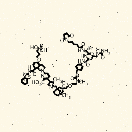 Cc1c(-c2ccc(N3CCc4c(OCCCP(=O)(O)O)ccc(C(=O)Nc5nc6ccccc6s5)c4C3)nc2C(=O)O)cnn1CC12CCCC(C)(CC(C)(CCOCCN(C)C(=O)OCc3ccc(NC(=O)[C@H](CCCNC(N)=O)NC(=O)[C@@H](NC(=O)CCCCCN4C(=O)C=CC4=O)C(C)C)cc3)C1)C2